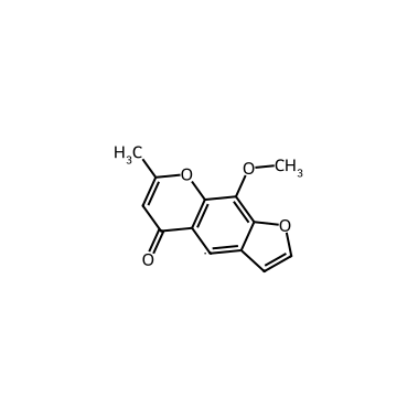 COc1c2occc2[c]c2c(=O)cc(C)oc12